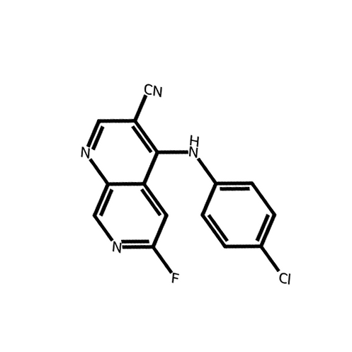 N#Cc1cnc2cnc(F)cc2c1Nc1ccc(Cl)cc1